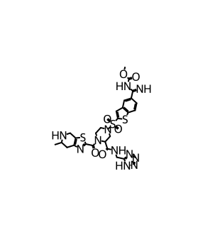 COC(=O)NC(=N)c1ccc2sc(S(=O)(=O)N3CCN(C(=O)c4nc5c(s4)CNC(C)C5)C(C(=O)NCc4nnn[nH]4)C3)cc2c1